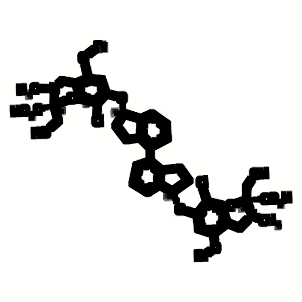 CCOc1cc(O[C@H]2CCc3c(-c4cccc5c4CC[C@@H]5Oc4cc(OCC)c(CN(C)[C@@](C)(CO)C(=O)O)cc4Cl)cccc32)c(Cl)cc1CN(C)[C@@](C)(CO)C(=O)O